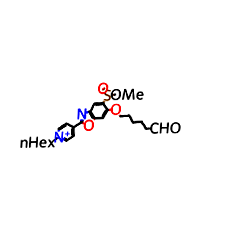 CCCCCC[n+]1ccc(-c2nc3cc(S(=O)OC)c(OCCCCCC=O)cc3o2)cc1